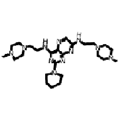 CN1CCN(CCNc2cnc3c(NCCN4CCN(C)CC4)nc(N4CCCCC4)nc3n2)CC1